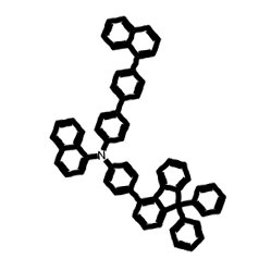 c1ccc(C2(c3ccccc3)c3ccccc3-c3c(-c4ccc(N(c5ccc(-c6ccc(-c7cccc8ccccc78)cc6)cc5)c5cccc6ccccc56)cc4)cccc32)cc1